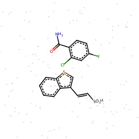 NC(=O)c1ccc(F)cc1Cl.O=S(=O)(O)/C=C/c1csc2ccccc12